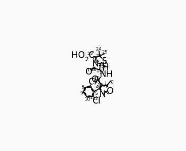 Cc1onc(-c2c(Cl)cccc2Cl)c1C(=O)NC1C(=O)N2C(C(=O)O)C(C)(C)S[C@@H]12